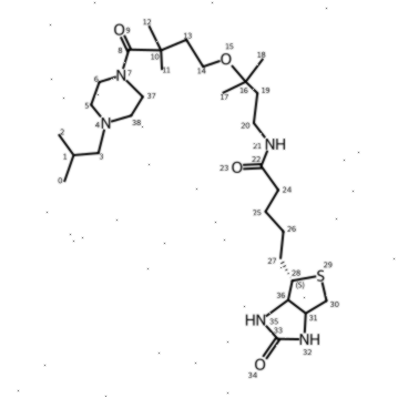 CC(C)CN1CCN(C(=O)C(C)(C)CCOC(C)(C)CCNC(=O)CCCC[C@@H]2SCC3NC(=O)NC32)CC1